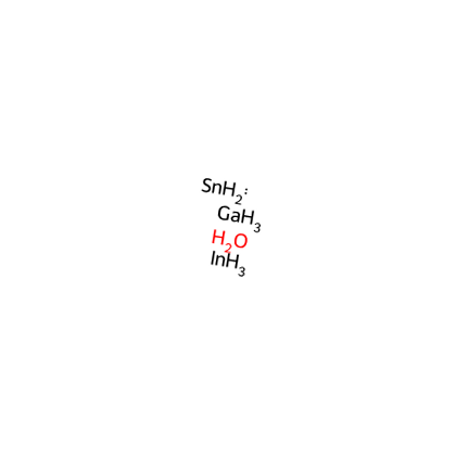 O.[GaH3].[InH3].[SnH2]